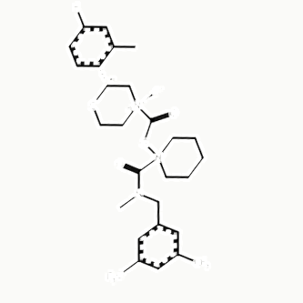 Cc1cc(F)ccc1[C@@H]1C[N@+]([S-])(C(=O)O[N+]2(C(=O)N(C)Cc3cc(C(F)(F)F)cc(C(F)(F)F)c3)CCCCC2)CCO1